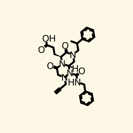 C#CCN1CC(=O)N2[C@@H](CCC(=O)O)C(=O)N(CC(C)c3ccccc3)C[C@@H]2N1C(=O)NCc1ccccc1